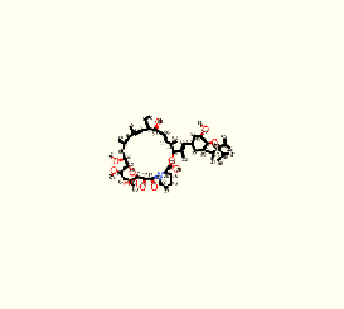 CCC1/C=C(\C)CC(C)CC(OC)C2OC(O)(C(=O)C(=O)N3CCCCC3C(=O)OC(C(C)=CC3CCC(O[Si](C(C)C)(C(C)C)C(C)C)C(OC)C3)C(C)/C=C/C1=O)C(C)CC2OC